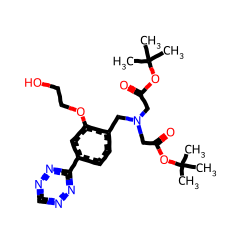 CC(C)(C)OC(=O)CN(CC(=O)OC(C)(C)C)Cc1ccc(-c2nncnn2)cc1OCCO